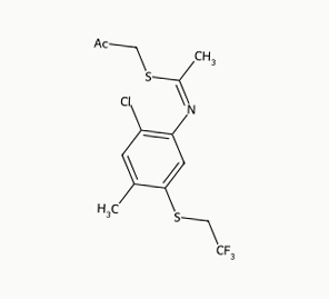 CC(=O)CS/C(C)=N\c1cc(SCC(F)(F)F)c(C)cc1Cl